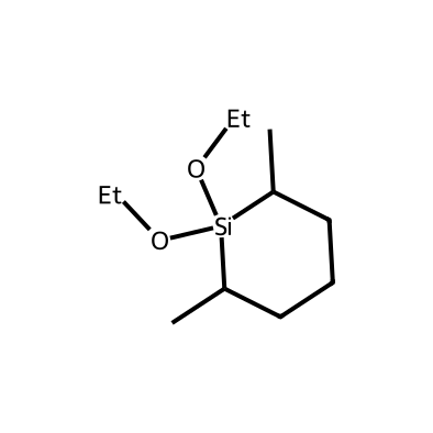 CCO[Si]1(OCC)C(C)CCCC1C